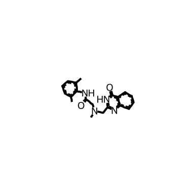 Cc1cccc(C)c1NC(=O)CN(C)Cc1nc2ccccc2c(=O)[nH]1